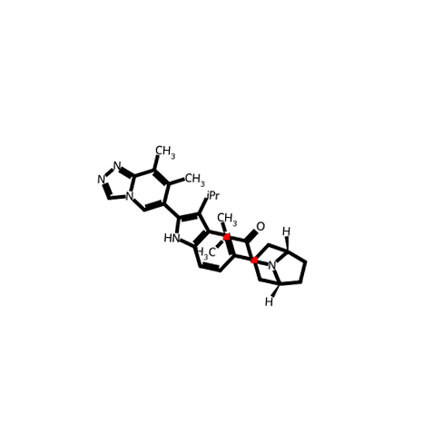 Cc1c(-c2[nH]c3ccc(C4C[C@H]5CC[C@@H](C4)N5CC(=O)N(C)C)cc3c2C(C)C)cn2cnnc2c1C